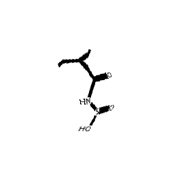 CC(C)C(=O)NS(=O)O